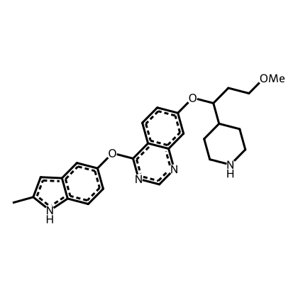 COCCC(Oc1ccc2c(Oc3ccc4[nH]c(C)cc4c3)ncnc2c1)C1CCNCC1